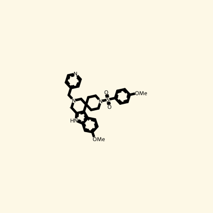 COc1ccc(S(=O)(=O)N2CCC3(CC2)CN(Cc2ccncc2)[CH]c2[nH]c4cc(OC)ccc4c23)cc1